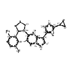 Fc1ccc(F)c(C2CCCN2c2ccn3ncc(-c4nnc(C5CC5)o4)c3n2)c1